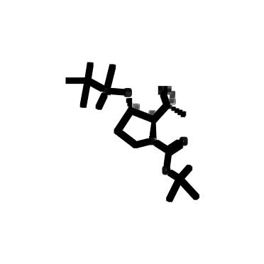 C[C@@H](N)[C@@H]1[C@@H](O[Si](C)(C)C(C)(C)C)CCN1C(=O)OC(C)(C)C